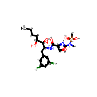 CN(c1nc(C(=O)NC(Cc2cc(F)cc(F)c2)C(O)C(O)CCCC#N)co1)S(C)(=O)=O